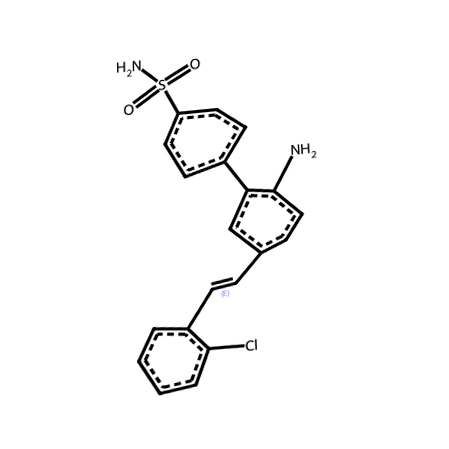 Nc1ccc(/C=C/c2ccccc2Cl)cc1-c1ccc(S(N)(=O)=O)cc1